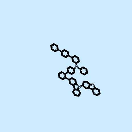 c1ccc(-c2ccc(-c3cccc(N(c4ccccc4)c4ccc(-c5ccccc5-c5ccc6c(c5)c5ccccc5n6-c5ccc6sc7ccccc7c6c5)cc4)c3)cc2)cc1